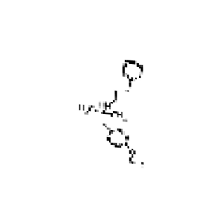 COc1ccc(CC(C)(C)NCCCc2ccccc2)cc1